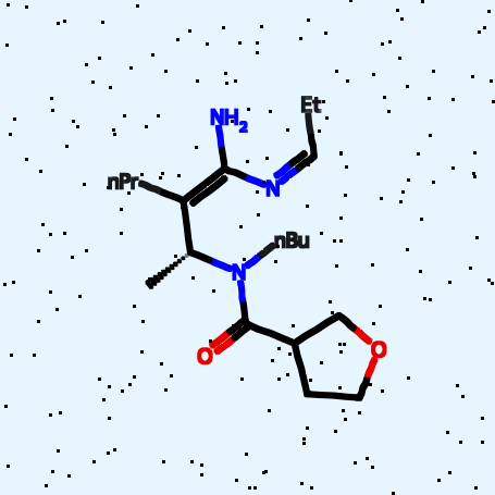 CC/C=N\C(N)=C(CCC)[C@@H](C)N(CCCC)C(=O)C1CCOC1